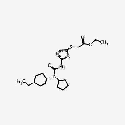 CCOC(=O)CSc1cnc(NC(=O)N(C2CCCC2)[C@H]2CC[C@H](CC)CC2)s1